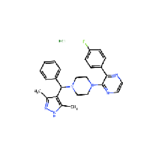 Cc1n[nH]c(C)c1C(c1ccccc1)N1CCN(c2nccnc2-c2ccc(F)cc2)CC1.Cl